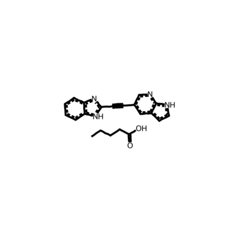 C(#Cc1nc2ccccc2[nH]1)c1cnc2[nH]ccc2c1.CCCCC(=O)O